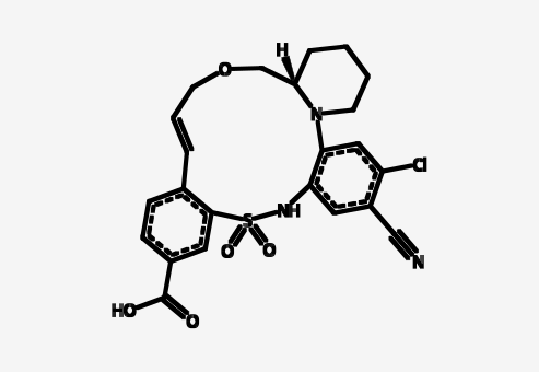 N#Cc1cc2c(cc1Cl)N1CCCC[C@H]1COC/C=C/c1ccc(C(=O)O)cc1S(=O)(=O)N2